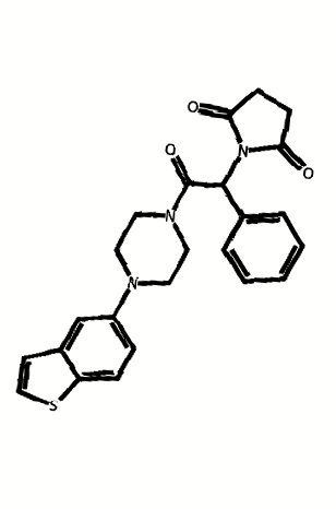 O=C(C(c1ccccc1)N1C(=O)CCC1=O)N1CCN(c2ccc3sccc3c2)CC1